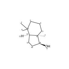 CC1(C)CCC[C@@]2(C)[C@@H](O)CC[C@@H]12